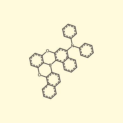 c1ccc(N(c2ccccc2)c2cc3c(c4ccccc24)B2c4ccc5ccccc5c4Oc4cccc(c42)O3)cc1